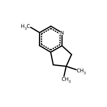 Cc1cnc2c(c1)CC(C)(C)C2